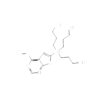 CCC[CH2][Sn]([CH2]CCC)([CH2]CCC)[c]1cc2c(SC)ncnc2s1